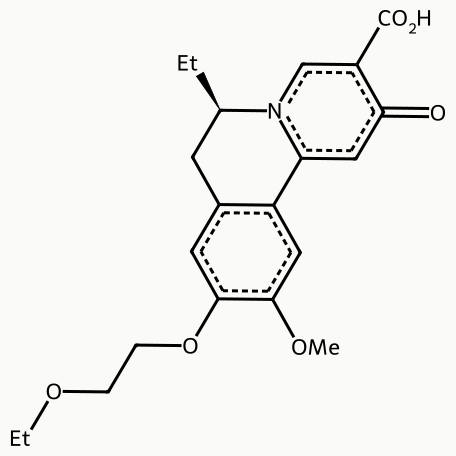 CCOCCOc1cc2c(cc1OC)-c1cc(=O)c(C(=O)O)cn1[C@H](CC)C2